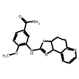 COc1ccc(C(N)=O)cc1NC1=NC2c3cccnc3CCC2S1